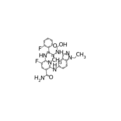 CCn1ncc2cc(Nc3nc(N[C@H](c4ccccc4F)[C@H](C)NC(=O)O)c(F)cc3C(N)=O)ccc21